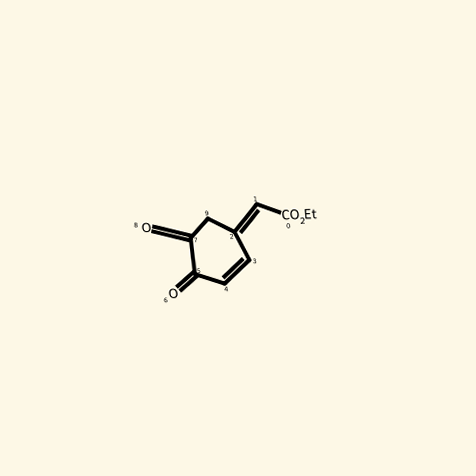 CCOC(=O)C=C1C=CC(=O)C(=O)C1